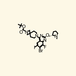 CN1CCC[C@H]1COc1nc(N2CCC3(CC2)CN(C(=O)OC(C)(C)C)C3)c2cc(I)c(Br)c(F)c2n1